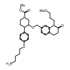 COCCCN1C(=O)CCc2ccc(COC3CN(C(=O)OC(C)(C)C)CCC3c3ccc(OCCCCN)cc3)cc21